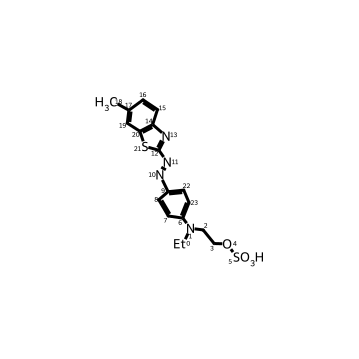 CCN(CCOS(=O)(=O)O)c1ccc(N=Nc2nc3ccc(C)cc3s2)cc1